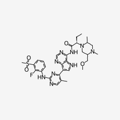 CC[C@H](C(=O)Nc1ncnc2c(-c3nc(Nc4cccc(S(C)(=O)=O)c4F)ncc3C)c[nH]c12)N1CC(COC)N(C)CC1C